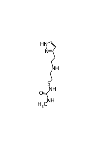 CNC(=O)NSCCNCCc1cc[nH]n1